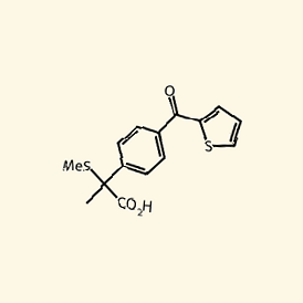 CSC(C)(C(=O)O)c1ccc(C(=O)c2cccs2)cc1